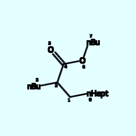 CCCCCCCCC(CCCC)C(=O)OCCCC